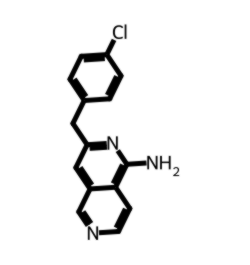 Nc1nc(Cc2ccc(Cl)cc2)cc2cnccc12